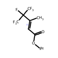 C/C(=C\C(=O)OC(C)C)C(F)(C(F)(F)F)C(F)(F)F